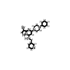 Brc1cnn2c(NCc3cccnc3)cc(N3CCN(c4ccccc4)CC3)nc12